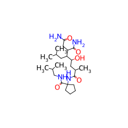 CC(C)CNC(=O)C1(NC(=O)C(C)CC(O)C(CC(C)C)C(CC(N)=O)C(N)=O)CCCC1